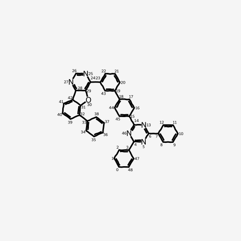 c1ccc(-c2nc(-c3ccccc3)nc(-c3ccc(-c4cccc(-c5ncnc6c5oc5c(-c7ccccc7)cccc56)c4)cc3)n2)cc1